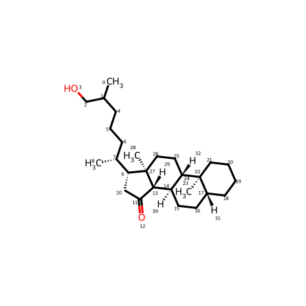 CC(CO)CCC[C@@H](C)[C@H]1CC(=O)[C@H]2[C@@H]3CC[C@H]4CCCC[C@]4(C)[C@H]3CC[C@]12C